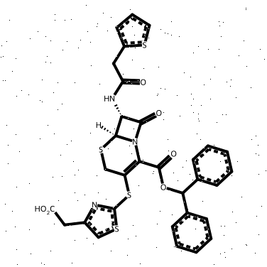 O=C(O)Cc1csc(SC2=C(C(=O)OC(c3ccccc3)c3ccccc3)N3C(=O)[C@@H](NC(=O)Cc4cccs4)[C@@H]3SC2)n1